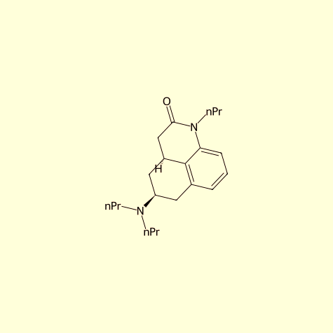 CCCN1C(=O)C[C@@H]2C[C@H](N(CCC)CCC)Cc3cccc1c32